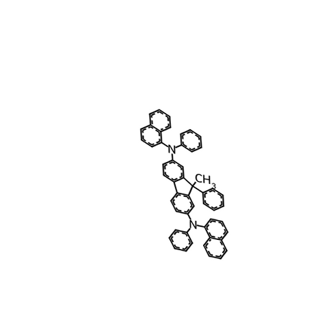 CC1(c2ccccc2)c2cc(N(c3ccccc3)c3cccc4ccccc34)ccc2-c2ccc(N(c3ccccc3)c3cccc4ccccc34)cc21